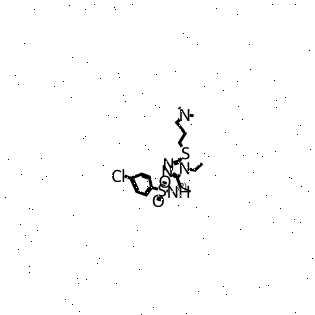 CCn1c(SCCCN(C)C)nnc1[C@@H](C)NS(=O)(=O)c1ccc(Cl)cc1